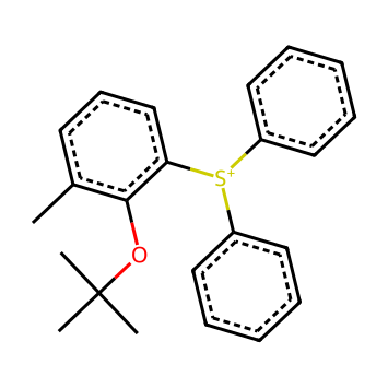 Cc1cccc([S+](c2ccccc2)c2ccccc2)c1OC(C)(C)C